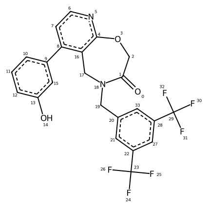 O=C1COc2nccc(-c3cccc(O)c3)c2CN1Cc1cc(C(F)(F)F)cc(C(F)(F)F)c1